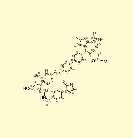 COC(=O)C[C@@H]1N=C(c2ccc(-c3ccc(SCC(=O)N[C@H](C(=O)N4C[C@H](O)C[C@H]4C(=O)N[C@@H](C)c4ccc(-c5scnc5C)cc4)C(C)(C)C)cc3)cc2)c2c(sc(C)c2C)-n2c(C)nnc21